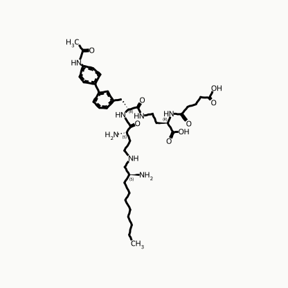 CCCCCCCC[C@H](N)CNCC[C@H](N)C(=O)N[C@H](Cc1cccc(-c2ccc(NC(C)=O)cc2)c1)C(=O)NCC[C@@H](NC(=O)CCCC(=O)O)C(=O)O